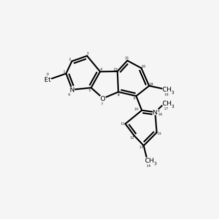 CCc1ccc2c(n1)oc1c(-c3ccc(C)c[n+]3C)c(C)ccc12